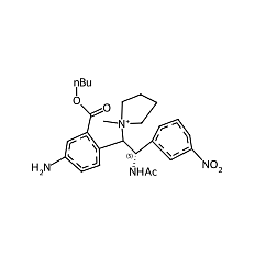 CCCCOC(=O)c1cc(N)ccc1C([C@@H](NC(C)=O)c1cccc([N+](=O)[O-])c1)[N+]1(C)CCCC1